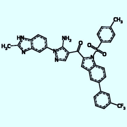 Cc1ccc(S(=O)(=O)n2c(C(=O)c3cnn(-c4ccc5[nH]c(C)nc5c4)c3N)cc3cc(-c4cccc(C(F)(F)F)c4)ccc32)cc1